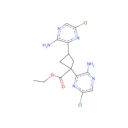 CCOC(=O)C1(c2nc(Cl)cnc2N)CC(c2nc(Cl)cnc2N)C1